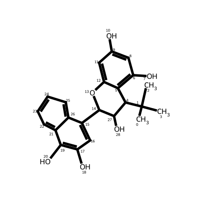 CC(C)(C)C1c2c(O)cc(O)cc2OC(c2cc(O)c(O)c3ccccc23)C1O